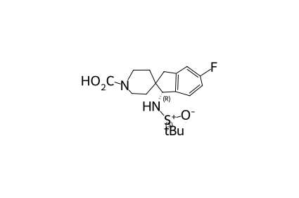 CC(C)(C)[S@@+]([O-])N[C@H]1c2ccc(F)cc2CC12CCN(C(=O)O)CC2